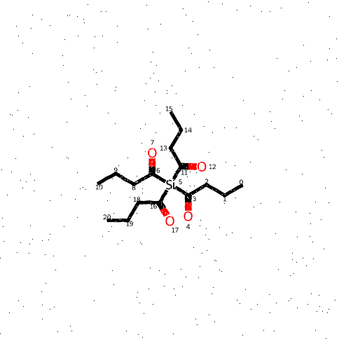 CCCC(=O)[Si](C(=O)CCC)(C(=O)CCC)C(=O)CCC